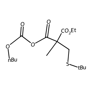 CCCCOC(=O)OC(=O)C(C)(CSC(C)(C)C)C(=O)OCC